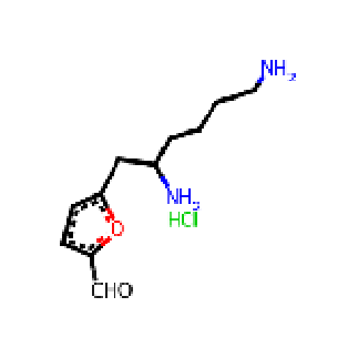 Cl.NCCCCC(N)Cc1ccc(C=O)o1